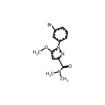 COc1cc(C(=O)N(C)C)nn1-c1cccc(Br)c1